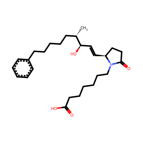 C[C@@H](CCCCCc1ccccc1)[C@H](O)/C=C/[C@H]1CCC(=O)N1CCCCCCC(=O)O